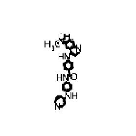 CN(C)c1ccc2nccc(Nc3ccc(C(=O)Nc4ccc(NC5=CC=NCC#C5)cc4)cc3)c2c1